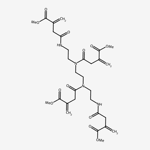 C=C(CC(=O)NCCN(CCN(CCNC(=O)CC(=C)C(=O)OC)C(=O)CC(=C)C(=O)OC)C(=O)CC(=C)C(=O)OC)C(=O)OC